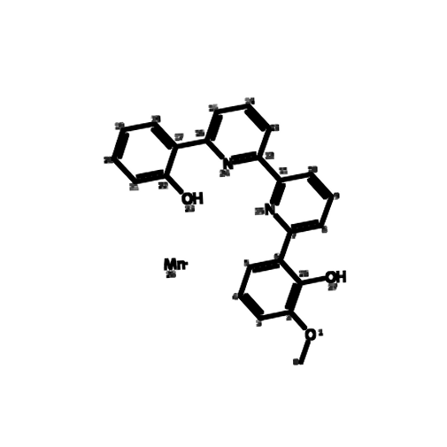 COc1cccc(-c2cccc(-c3cccc(-c4ccccc4O)n3)n2)c1O.[Mn]